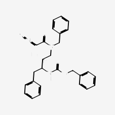 [N-]=[N+]=CC(=O)N(Cc1ccccc1)C[C@@H](O)C(Cc1ccccc1)NC(=O)OCc1ccccc1